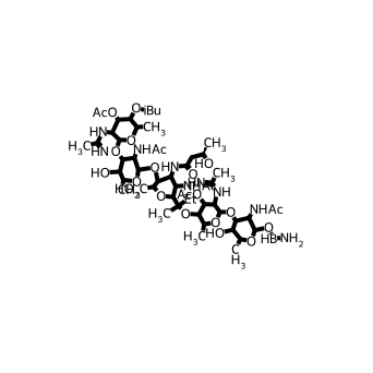 CCC(C)OC1C(C)OC(OC2C(O)C(C)OC(OC3C(C(=O)O)OC(C(C)(CC)OC4C(C)OC(OC5C(O)C(C)OC(OBN)C5NC(C)=O)C(NC(C)=N)C4OC(C)=O)C(NC(C)=O)C3NC(=O)C[C@@H](C)O)C2NC(C)=O)C(NC(C)=N)C1OC(C)=O